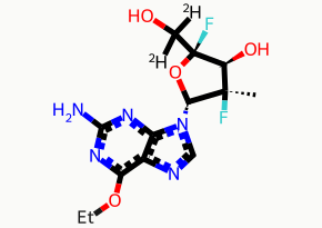 [2H]C([2H])(O)[C@@]1(F)O[C@@H](n2cnc3c(OCC)nc(N)nc32)[C@](C)(F)[C@@H]1O